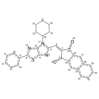 O=C1C(=Cc2nc3sc(-c4ccccc4)nc3n2C2CCCCC2)C(=O)c2cc3ccccc3cc21